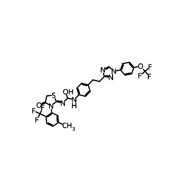 Cc1ccc(C(F)(F)F)c(N2C(=O)CS/C2=N\C(O)Nc2ccc(CCc3ncn(-c4ccc(OC(F)(F)F)cc4)n3)cc2)c1